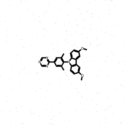 COc1ccc2c(c1)c1cc(OC)ccc1n2-c1c(C)cc(-c2ncncn2)cc1C